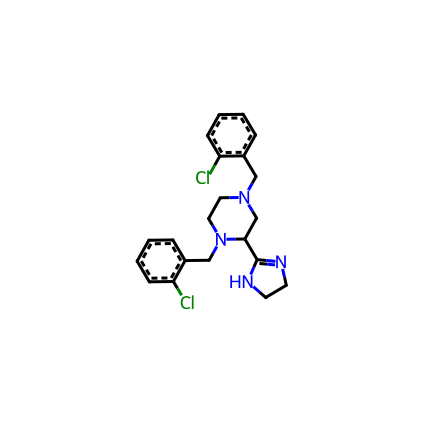 Clc1ccccc1CN1CCN(Cc2ccccc2Cl)C(C2=NCCN2)C1